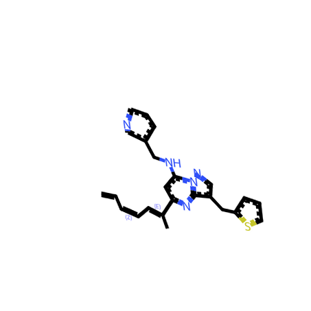 C=C/C=C\C=C(/C)c1cc(NCc2cccnc2)n2ncc(Cc3cccs3)c2n1